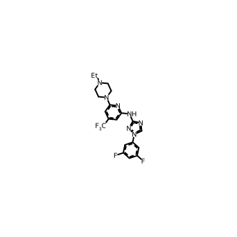 CCN1CCN(c2cc(C(F)(F)F)cc(Nc3ncn(-c4cc(F)cc(F)c4)n3)n2)CC1